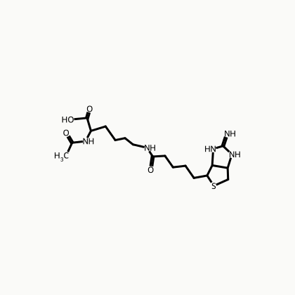 CC(=O)NC(CCCCNC(=O)CCCCC1SCC2NC(=N)NC21)C(=O)O